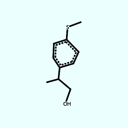 CSc1ccc(C(C)CO)cc1